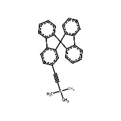 C[Si](C)(C)C#Cc1ccc2c(c1)C1(c3ccccc3-c3ccccc31)c1ccccc1-2